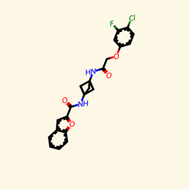 O=C(COc1ccc(Cl)c(F)c1)NC12CC(NC(=O)c3cc4ccccc4o3)(C1)C2